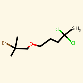 CC(C)(Br)COCCCC([SiH3])(Cl)Cl